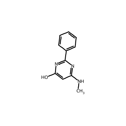 CNc1cc(O)nc(-c2ccccc2)n1